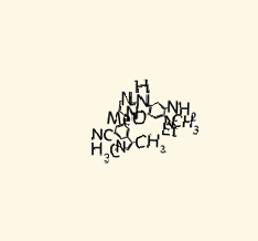 [CH2]CN(C)c1cc(OC)c(Nc2nccc(-c3cc(C#N)c4c(c3)c(C)cn4C)n2)cc1N